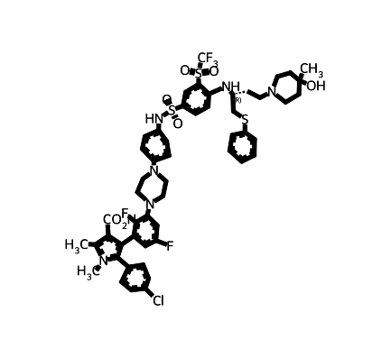 Cc1c(C(=O)O)c(-c2cc(F)cc(N3CCN(c4ccc(NS(=O)(=O)c5ccc(N[C@H](CCN6CCC(C)(O)CC6)CSc6ccccc6)c(S(=O)(=O)C(F)(F)F)c5)cc4)CC3)c2F)c(-c2ccc(Cl)cc2)n1C